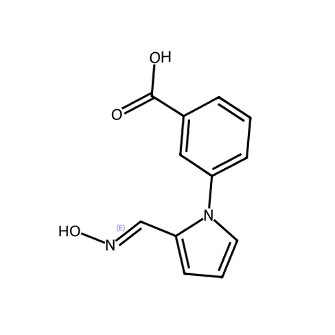 O=C(O)c1cccc(-n2cccc2/C=N/O)c1